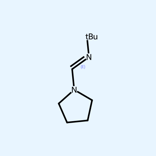 CC(C)(C)/N=C/N1CCCC1